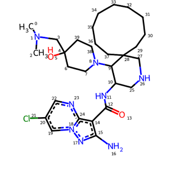 CN(C)CC1(O)CCN(C2C(NC(=O)c3c(N)nn4cc(Cl)cnc34)CNCC23CCCCCCCCC3)CC1